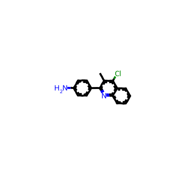 Cc1c(-c2ccc(N)cc2)nc2ccccc2c1Cl